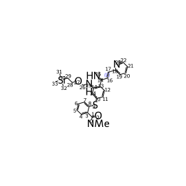 CNC(=O)c1ccccc1Sc1ccc(C(=N)/C=C/c2ccccn2)c(NCOCC[Si](C)(C)C)c1